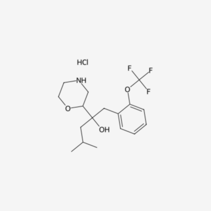 CC(C)CC(O)(Cc1ccccc1OC(F)(F)F)C1CNCCO1.Cl